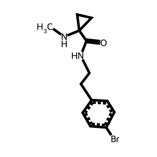 CNC1(C(=O)NCCc2ccc(Br)cc2)CC1